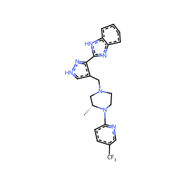 C[C@@H]1CN(Cc2c[nH]nc2-c2nc3ccccc3[nH]2)CCN1c1ccc(C(F)(F)F)cn1